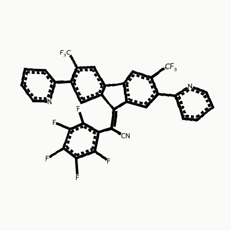 N#CC(=C1c2cc(-c3ccccn3)c(C(F)(F)F)cc2-c2cc(C(F)(F)F)c(-c3ccccn3)cc21)c1c(F)c(F)c(F)c(F)c1F